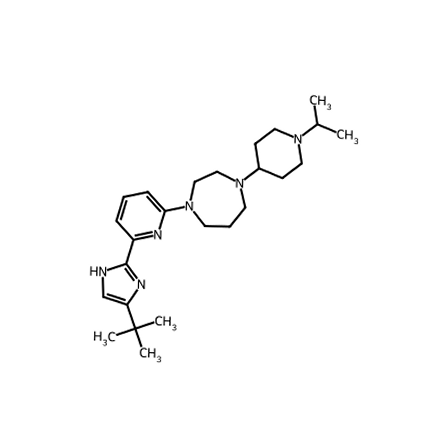 CC(C)N1CCC(N2CCCN(c3cccc(-c4nc(C(C)(C)C)c[nH]4)n3)CC2)CC1